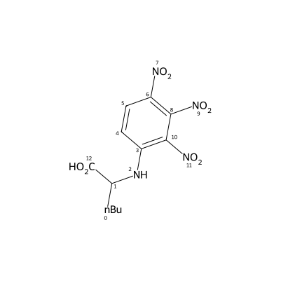 CCCCC(Nc1ccc([N+](=O)[O-])c([N+](=O)[O-])c1[N+](=O)[O-])C(=O)O